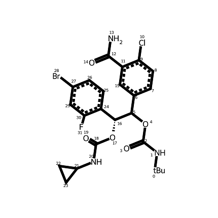 CC(C)(C)NC(=O)OC(c1ccc(Cl)c(C(N)=O)c1)[C@H](OC(=O)NC1CC1)c1ccc(Br)cc1F